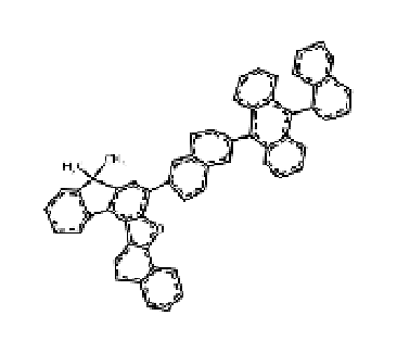 CC1(C)c2ccccc2-c2c1cc(-c1ccc3cc(-c4c5ccccc5c(-c5cccc6ccccc56)c5ccccc45)ccc3c1)c1oc3c4ccccc4ccc3c21